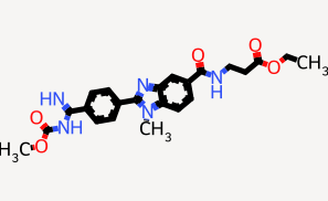 CCOC(=O)CCNC(=O)c1ccc2c(c1)nc(-c1ccc(C(=N)NC(=O)OC)cc1)n2C